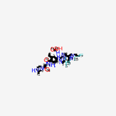 CCc1cc(Nc2nccn3c(-c4cn(CC(F)F)nc4C(F)(F)F)cnc23)ccc1C(=O)NCC(=O)N1CCNC(C)C1.O=CO